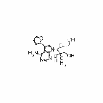 CC1(O)C(O)[C@@H](CO)O[C@H]1n1cc(-c2ccco2)c2c(N)ncnc21